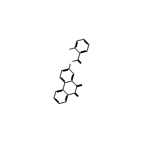 O=C1C(=O)c2cc(NC(=O)c3ccccc3[N+](=O)[O-])ccc2-c2ccccc21